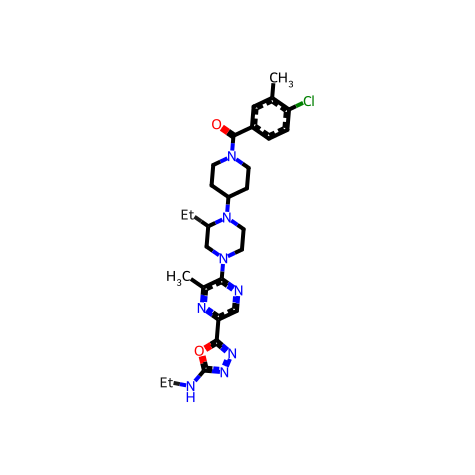 CCNc1nnc(-c2cnc(N3CCN(C4CCN(C(=O)c5ccc(Cl)c(C)c5)CC4)C(CC)C3)c(C)n2)o1